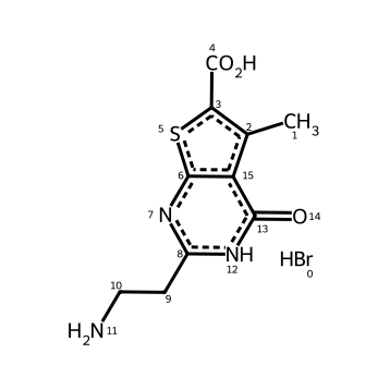 Br.Cc1c(C(=O)O)sc2nc(CCN)[nH]c(=O)c12